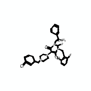 Cc1c(N2CCN(Cc3cccc(Cl)c3)CC2)c(=O)n(C[C@H](N)c2ccccc2)c(=O)n1Cc1c(F)cccc1F